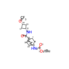 CC(C)(C)OC(=O)NC12CCC(C(=O)N[C@H]3C[C@@H](OC(F)(F)F)C3)(CC1)CC2